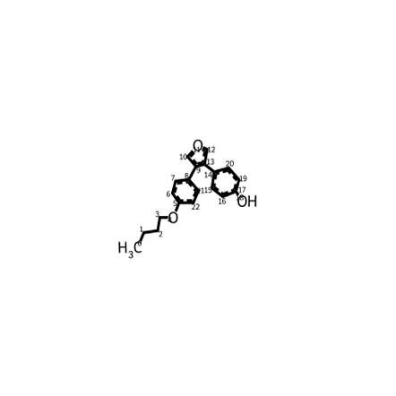 CCCCOc1ccc(-c2cocc2-c2ccc(O)cc2)cc1